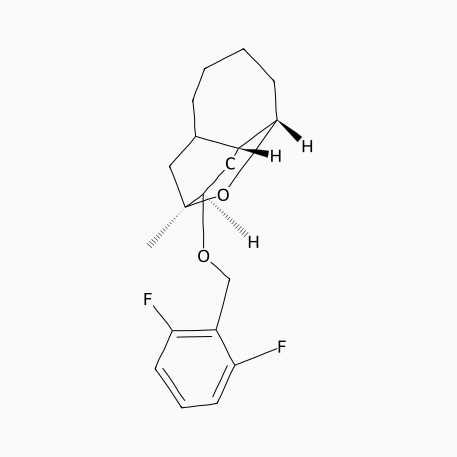 C[C@@]12CC3CCCC[C@H](O1)[C@@H]3C[C@H]2OCc1c(F)cccc1F